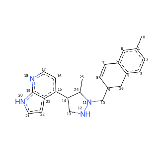 Cc1ccc2c(c1)C=CC(CN1NCC(c3ccnc4[nH]ccc34)C1C)C2